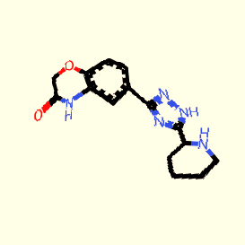 O=C1COc2ccc(-c3n[nH]c(C4CCCCN4)n3)cc2N1